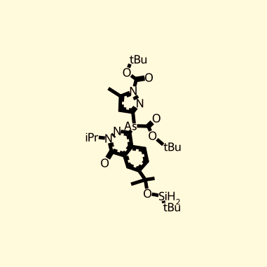 Cc1cc([As](C(=O)OC(C)(C)C)c2nn(C(C)C)c(=O)c3cc(C(C)(C)O[SiH2]C(C)(C)C)ccc23)nn1C(=O)OC(C)(C)C